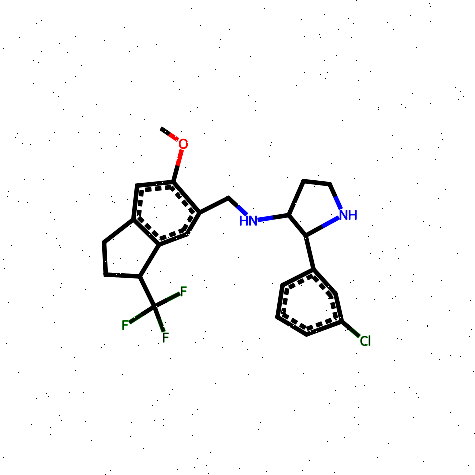 COc1cc2c(cc1CNC1CCNC1c1cccc(Cl)c1)C(C(F)(F)F)CC2